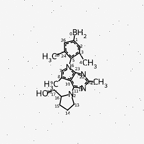 Bc1cc(C)c(-n2cc(C)c3c(N4CCCC4CO)nc(C)nc32)c(C)c1